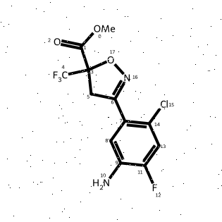 COC(=O)C1(C(F)(F)F)CC(c2cc(N)c(F)cc2Cl)=NO1